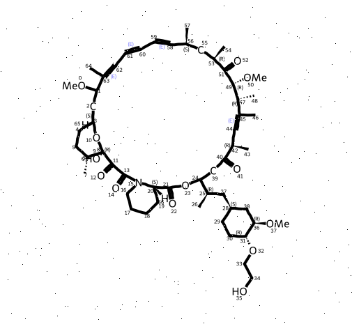 COC1C[C@@H]2CC[C@@H](C)[C@@](O)(O2)C(=O)C(=O)N2CCCC[C@H]2C(=O)OC([C@H](C)C[C@@H]2CC[C@@H](OCCO)[C@H](OC)C2)CC(=O)[C@H](C)/C=C(\C)[C@@H](C)[C@@H](OC)C(=O)[C@H](C)C[C@H](C)/C=C/C=C/C=C/1C